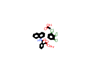 CC(=O)O.Clc1cccc(Cl)c1Cl.O=C(O)c1ccccc1C(=O)Nc1cccc2ccccc12